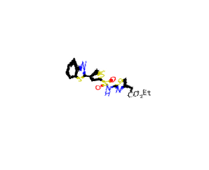 CCOC(=O)Cc1csc(NS(=O)(=O)c2cc(-c3nc4ccccc4s3)cs2)n1